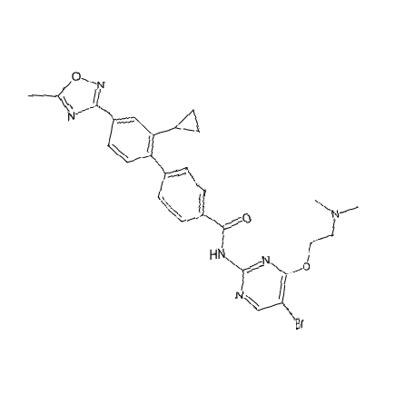 Cc1nc(-c2ccc(-c3ccc(C(=O)Nc4ncc(Br)c(OCCN(C)C)n4)cc3)c(C3CC3)c2)no1